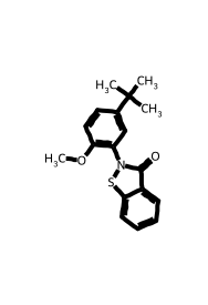 COc1ccc(C(C)(C)C)cc1-n1sc2ccccc2c1=O